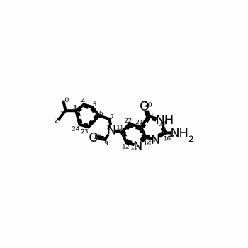 CC(C)c1ccc(CN(C=O)c2cnc3nc(N)[nH]c(=O)c3c2)cc1